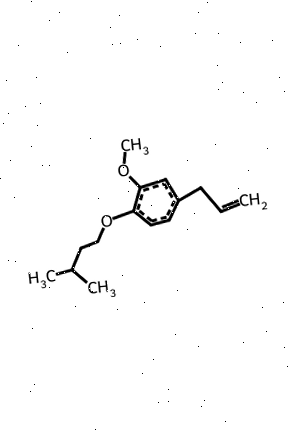 C=CCc1ccc(OCCC(C)C)c(OC)c1